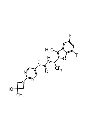 Cc1c(C(NC(=O)Nc2cnc(N3CC(C)(O)C3)nc2)C(F)(F)F)oc2c(F)cc(F)cc12